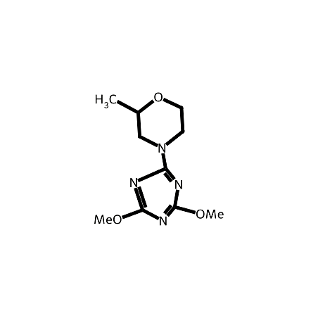 COc1nc(OC)nc(N2CCOC(C)C2)n1